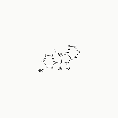 Cc1cccc(C2(Br)C(=O)c3ccccc3C2=O)c1